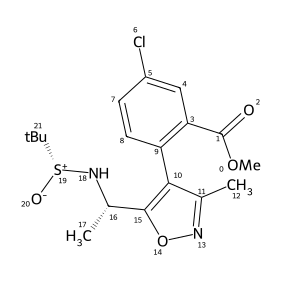 COC(=O)c1cc(Cl)ccc1-c1c(C)noc1[C@H](C)N[S@+]([O-])C(C)(C)C